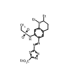 CCOC(=O)c1nnc(N=Nc2cc3c(cc2NS(=O)(=O)CC(F)(F)F)N(CC)C(CC)CC3)s1